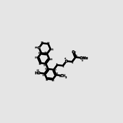 COC(=O)COCCc1c(C)ccc(O)c1-c1ccc2c(c1)CCCO2